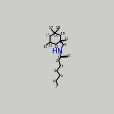 C=C(CCCCCC)NCC1(C)CC(C)CC(C)(C)C1